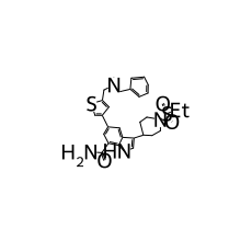 CCS(=O)(=O)N1CCC(c2c[nH]c3c(C(N)=O)cc(-c4csc(CN(C)Cc5ccccc5)c4)cc23)CC1